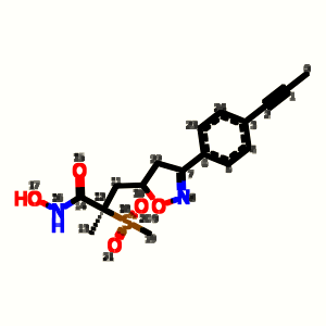 CC#Cc1ccc(C2=NOC(C[C@](C)(C(=O)NO)S(C)(=O)=O)C2)cc1